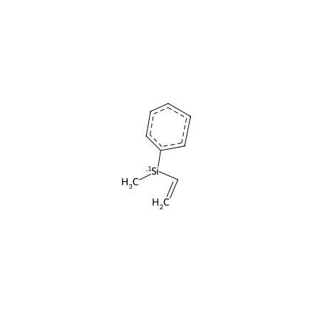 C=C[1Si](C)c1ccccc1